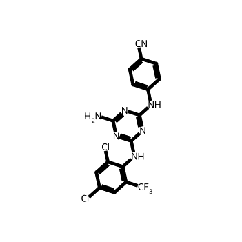 N#Cc1ccc(Nc2nc(N)nc(Nc3c(Cl)cc(Cl)cc3C(F)(F)F)n2)cc1